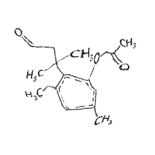 CC(=O)Oc1cc(C)cc(C)c1C(C)(C)CC=O